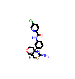 NC1=N[C@@]2(c3cccc(NC(=O)c4ccc(Cl)cn4)c3)CCOC[C@H]2CS1